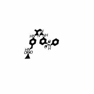 Cc1cnc(Nc2cccc(S(=O)(=O)Nc3ccccc3)c2)nc1Nc1ccc(CNS(=O)(=O)C2CC2)cc1